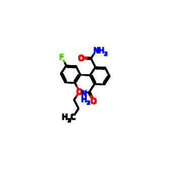 CCCOc1ccc(F)cc1-c1c(C(N)=O)cccc1C(N)=O